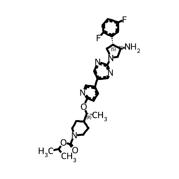 CC(C)OC(=O)N1CCC([C@@H](C)Oc2ccc(-c3cnc(N4C[C@H](c5cc(F)ccc5F)[C@@H](N)C4)nc3)cn2)CC1